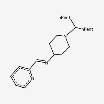 CCCCCC(CCCCC)N1CCC(/N=C/c2ccccn2)CC1